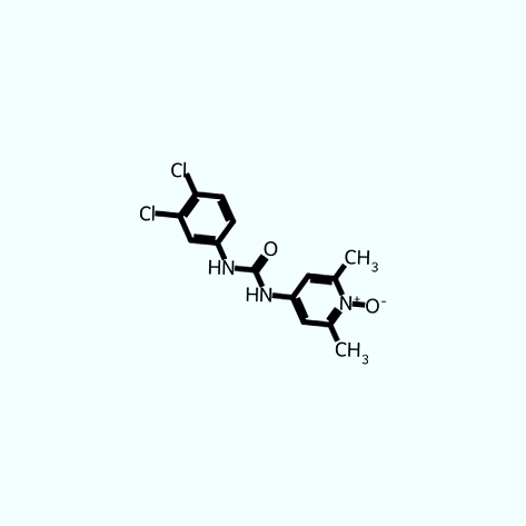 Cc1cc(NC(=O)Nc2ccc(Cl)c(Cl)c2)cc(C)[n+]1[O-]